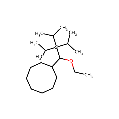 CCOC(C1[CH]CCCCCC1)[Si](C(C)C)(C(C)C)C(C)C